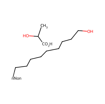 CC(O)C(=O)O.CCCCCCCCCCCCCCCCCCO